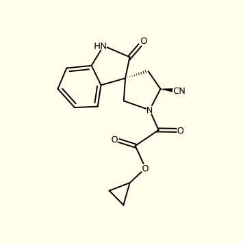 N#C[C@@H]1C[C@@]2(CN1C(=O)C(=O)OC1CC1)C(=O)Nc1ccccc12